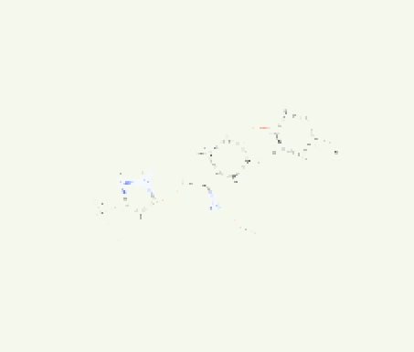 CCO/N=C(/COc1cc(C(F)(F)F)nn1C)c1ccc(Oc2ccc(Cl)cc2)cc1Cl